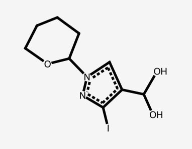 OC(O)c1cn(C2CCCCO2)nc1I